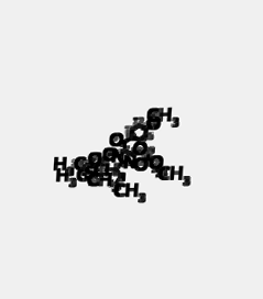 CCCCc1ncc(C(=O)c2ccc(OC)cc2OCC(=O)OCC)n1OCOC(C)[Si](C)(C)C